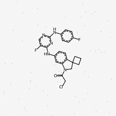 O=C(CCl)N1CC2(CCC2)c2ccc(Nc3nc(Nc4ccc(F)cc4)ncc3F)cc21